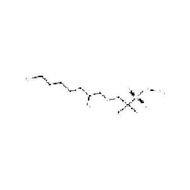 CCCCCCC(O)COCC(F)(F)S(=O)(=O)OC